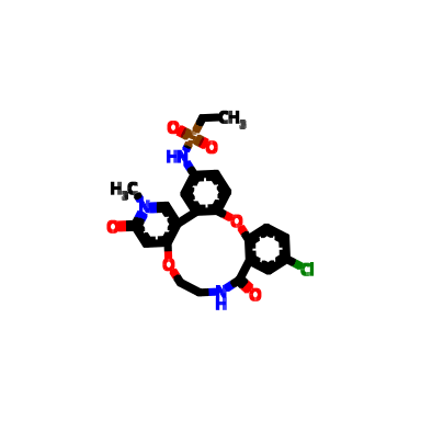 CCS(=O)(=O)Nc1ccc2c(c1)-c1cn(C)c(=O)cc1OCCNC(=O)c1cc(Cl)ccc1O2